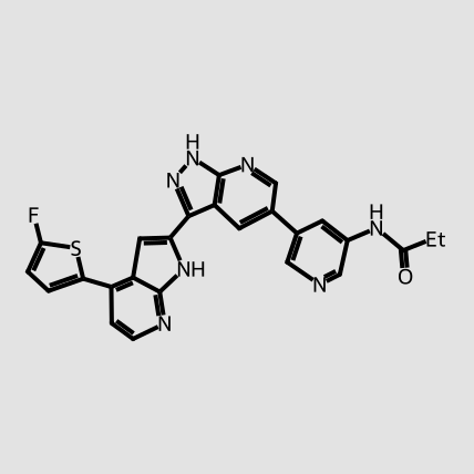 CCC(=O)Nc1cncc(-c2cnc3[nH]nc(-c4cc5c(-c6ccc(F)s6)ccnc5[nH]4)c3c2)c1